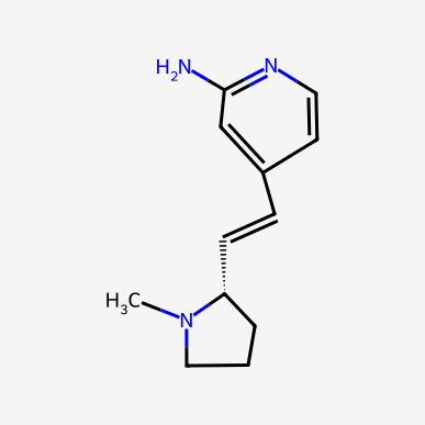 CN1CCC[C@H]1/C=C/c1ccnc(N)c1